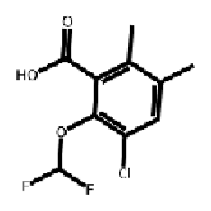 Cc1cc(Cl)c(OC(F)F)c(C(=O)O)c1C